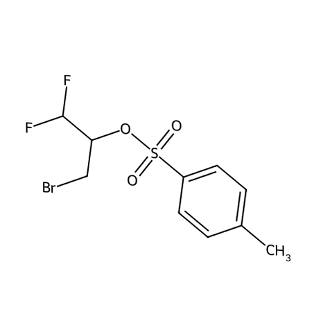 Cc1ccc(S(=O)(=O)OC(CBr)C(F)F)cc1